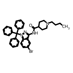 CCCCN1CCC(C(=O)Nc2nn(C(c3ccccc3)(c3ccccc3)c3ccccc3)c3ccc(Br)cc23)CC1